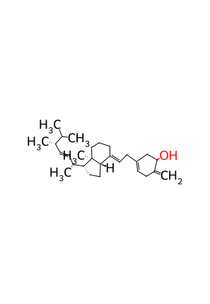 C=C1CC=C(C/C=C2\CCC[C@]3(C)[C@@H]([C@H](C)/C=C/[C@H](C)C(C)C)CC[C@@H]23)C[C@H]1O